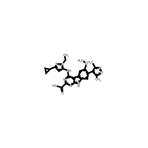 CCn1nc(C2CC2)cc1Nc1nc(C(=O)O)nc2[nH]c3cc(-c4c(C)noc4C)c(OC)cc3c12